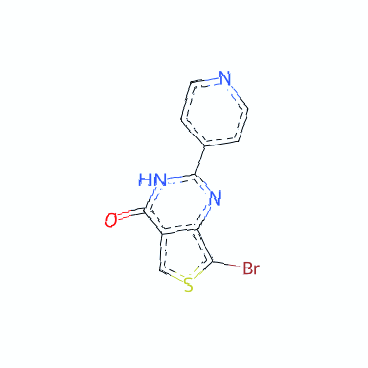 O=c1[nH]c(-c2ccncc2)nc2c(Br)scc12